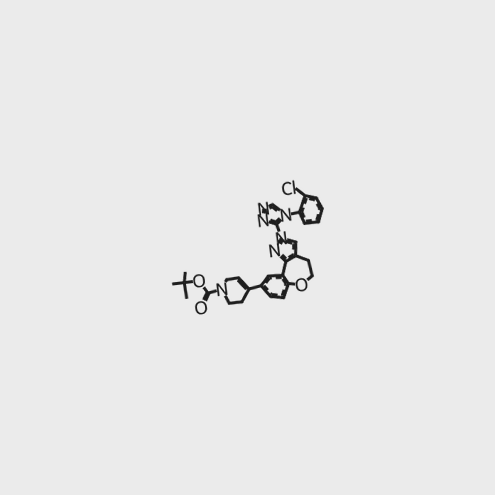 CC(C)(C)OC(=O)N1CC=C(c2ccc3c(c2)-c2nn(-c4nncn4-c4ccccc4Cl)cc2CCO3)CC1